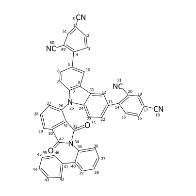 N#Cc1ccc(-c2ccc3c(c2)c2cc(-c4ccc(C#N)cc4C#N)ccc2n3-c2cccc3c2C(=O)N(c2ccccc2-c2ccccc2)C3=O)c(C#N)c1